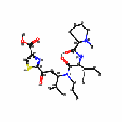 CCCN(C(=O)[C@@H](NC(=O)[C@H]1CCCCN1C)[C@@H](C)CC)[C@H](CC(=O)c1nc(C(=O)OC)cs1)C(C)C